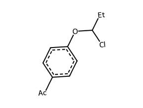 CCC(Cl)Oc1ccc(C(C)=O)cc1